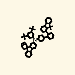 CC(C)(C)c1cc(N(c2ccc(-c3ccccc3-c3cccc4c3C(C)(C)c3ccccc3-4)cc2)c2ccc3c(c2)C2(CC4CCC2C4)c2ccccc2-3)cc(C(C)(C)C)c1